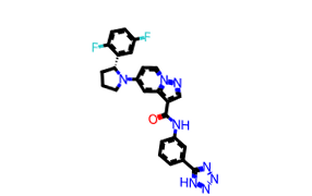 O=C(Nc1cccc(-c2nnn[nH]2)c1)c1cnn2ccc(N3CCC[C@@H]3c3cc(F)ccc3F)cc12